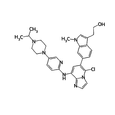 CC(C)N1CCN(c2ccc(Nc3cc(-c4ccc5c(CCO)cn(C)c5c4)c(Cl)n4ccnc34)nc2)CC1